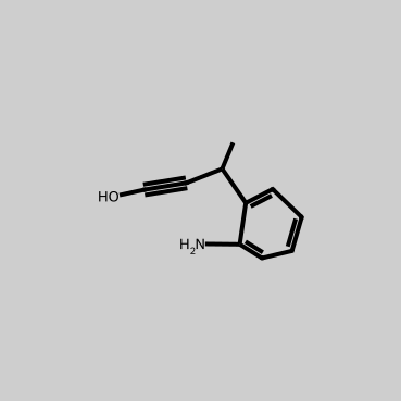 CC(C#CO)c1ccccc1N